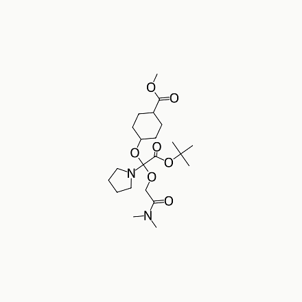 COC(=O)C1CCC(OC(OCC(=O)N(C)C)(C(=O)OC(C)(C)C)N2CCCC2)CC1